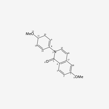 COc1ccc2c(=O)n(C3=CCC(OC)C=C3)ccc2c1